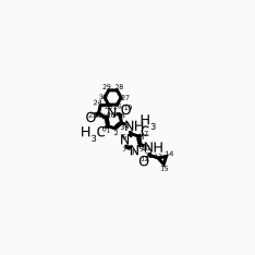 Cc1cc(Nc2ncnc(NC(=O)C3CC3)c2C)c(=O)n2c1C(=O)CC21CCCCC1